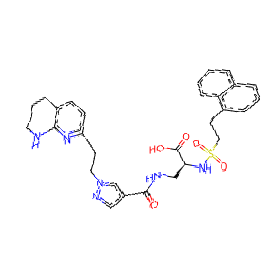 O=C(NC[C@H](NS(=O)(=O)CCc1cccc2ccccc12)C(=O)O)c1cnn(CCc2ccc3c(n2)NCCC3)c1